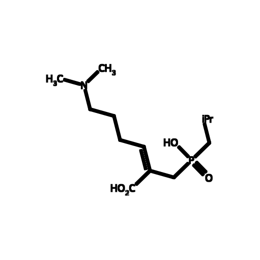 CC(C)CP(=O)(O)CC(=CCCCN(C)C)C(=O)O